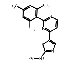 CCCNc1ncc(-c2ccnc(-c3c(C)cc(C)cc3C)n2)s1